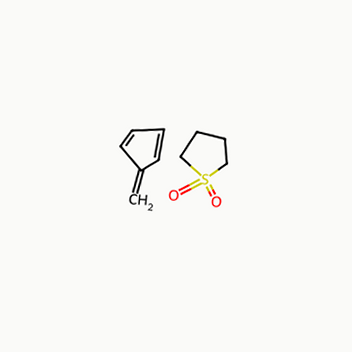 C=C1C=CC=C1.O=S1(=O)CCCC1